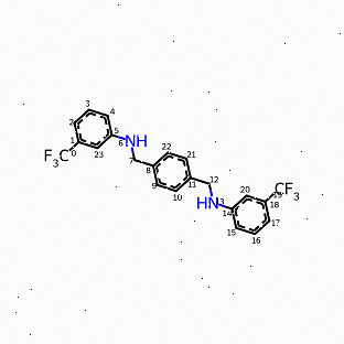 FC(F)(F)c1cccc(NCc2ccc(CNc3cccc(C(F)(F)F)c3)cc2)c1